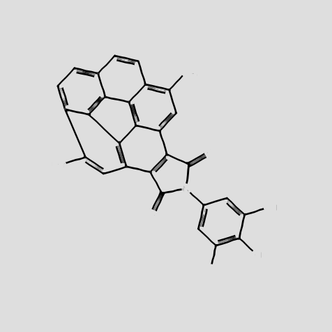 Cc1cc(-n2c(=O)c3c4cc(C(C)(C)C)c5ccc6ccc7c(C(C)(C)C)cc(c3c2=O)c2c7c6c5c42)cc(C)c1C